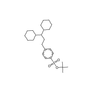 CC(C)(C)OS(=O)(=O)c1ccc(CCC(C2CCCCC2)C2CCCCC2)cc1